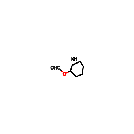 O=COC1CCCCC1.[KH]